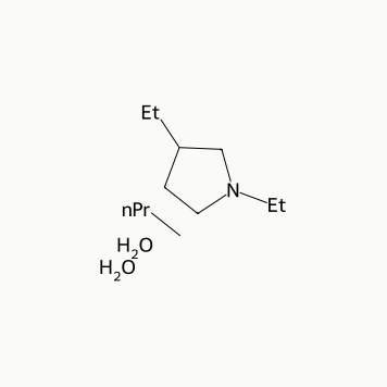 CCC1CCN(CC)C1.CCCC.O.O